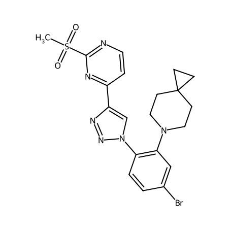 CS(=O)(=O)c1nccc(-c2cn(-c3ccc(Br)cc3N3CCC4(CC3)CC4)nn2)n1